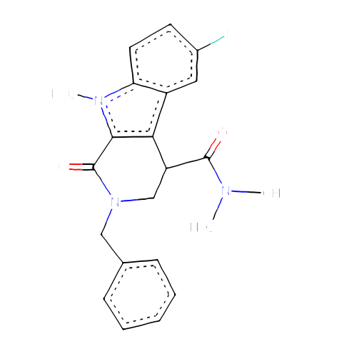 CN(C)C(=O)C1CN(Cc2ccccc2)C(=O)c2c1c1cc(F)ccc1n2C